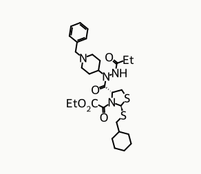 CCOC(=O)C(=O)N1[C@H](SCC2CCCCC2)SC[C@H]1C(=O)N(NC(=O)CC)C1CCN(Cc2ccccc2)CC1